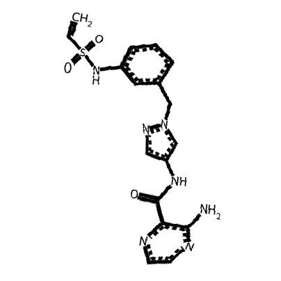 C=CS(=O)(=O)Nc1cccc(Cn2cc(NC(=O)c3nccnc3N)cn2)c1